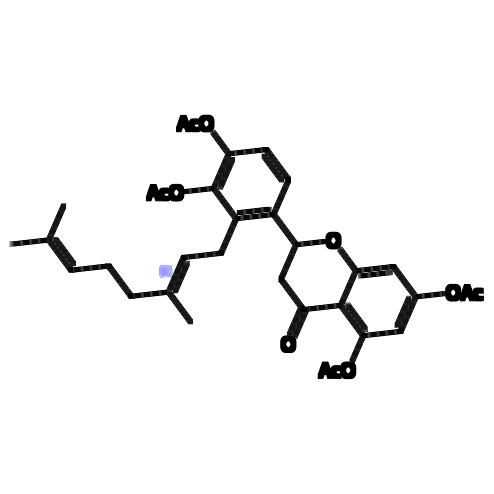 CC(=O)Oc1cc(OC(C)=O)c2c(c1)OC(c1ccc(OC(C)=O)c(OC(C)=O)c1C/C=C(\C)CCC=C(C)C)CC2=O